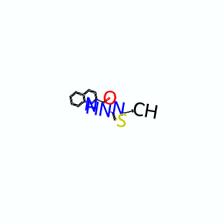 C#Cc1nc(NC(=O)c2ccc3ccccc3n2)cs1